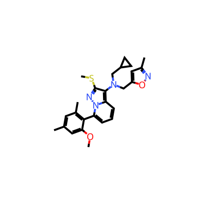 COc1cc(C)cc(C)c1-c1cccc2c(N(Cc3cc(C)no3)CC3CC3)c(SC)nn12